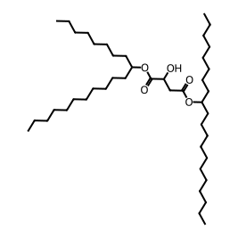 CCCCCCCCCCCC(CCCCCCCC)OC(=O)CC(O)C(=O)OC(CCCCCCCC)CCCCCCCCCCC